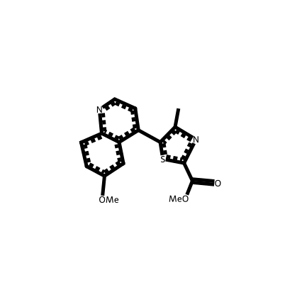 COC(=O)c1nc(C)c(-c2ccnc3ccc(OC)cc23)s1